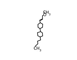 CCCCCC1CCC(C2CCC(/C=C/COC)CC2)CC1